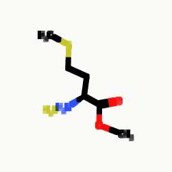 COC(=O)[C@@H](N)CCSC.S